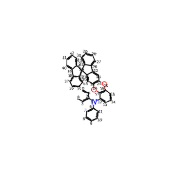 C=C/C(=C\C)N(c1ccccc1)c1cccc2c1Oc1cc3c(cc1O2)-c1ccccc1C31c2ccccc2-c2ccccc21